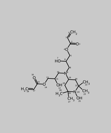 C=CC(=O)OCC(O)CN(CC(O)COC(=O)C=C)C1CC(C)(C)N(O)C(C)(C)C1